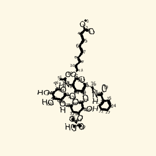 COC(=O)CCCCCCCCO[C@@H]1O[C@H](CNC(=O)c2ccccc2)[C@@H](O[C@@H]2O[C@H](C)C[C@H](OS(=O)(=O)O)[C@H]2O)[C@H](O[C@@H]2O[C@@H](C)[C@@H](O)[C@@H](O)[C@@H]2O)[C@H]1NC(C)=O